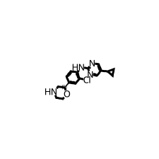 Clc1cc([C@@H]2CNCCO2)ccc1Nc1ncc(C2CC2)cn1